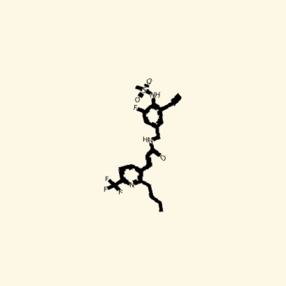 C#Cc1cc(CNC(=O)C=Cc2ccc(C(F)(F)F)nc2CCCC)cc(F)c1NS(C)(=O)=O